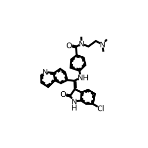 CN(C)CCN(C)C(=O)c1ccc(NC(=C2C(=O)Nc3cc(Cl)ccc32)c2ccc3ncccc3c2)cc1